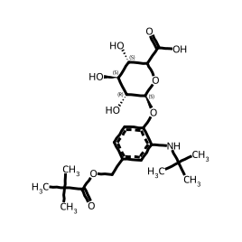 CC(C)(C)Nc1cc(COC(=O)C(C)(C)C)ccc1O[C@@H]1OC(C(=O)O)[C@@H](O)[C@H](O)[C@H]1O